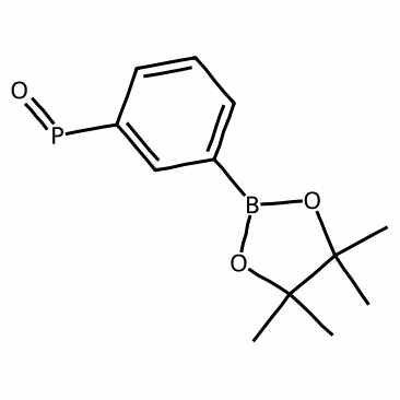 CC1(C)OB(c2cccc(P=O)c2)OC1(C)C